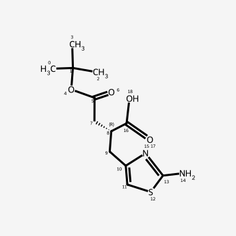 CC(C)(C)OC(=O)C[C@@H](Cc1csc(N)n1)C(=O)O